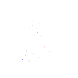 CC(C)n1nccc1C(=O)N[C@H](C(=O)Nc1cnn([C@H](C)C(=O)N(C)CC(F)(F)F)c(=O)c1)C1CCCCCC1